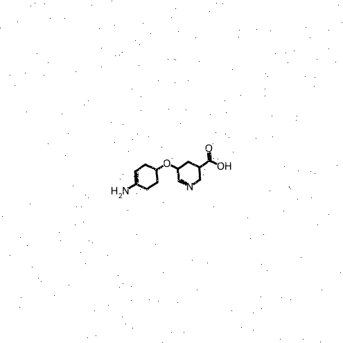 NC1=CCC(OC2C=NCC(C(=O)O)C2)CC1